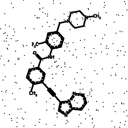 Cc1ccc(C(=O)Nc2ccc(CN3CCN(C)CC3)cc2C(F)(F)F)cc1C#Cc1cnc2cccnn12